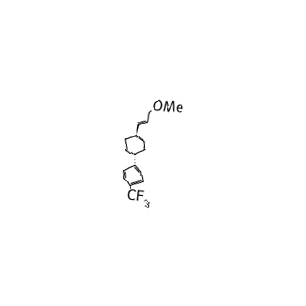 COC/C=C/[C@H]1CC[C@H](c2ccc(C(F)(F)F)cc2)CC1